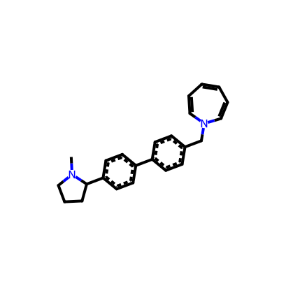 CN1CCCC1c1ccc(-c2ccc(CN3C=CC=CC=C3)cc2)cc1